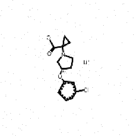 O=C([O-])C1(N2CC[C@@H](Oc3cccc(Cl)c3)C2)CC1.[Li+]